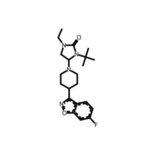 CCN1CC(N2CCC(c3noc4cc(F)ccc34)CC2)N(C(C)(C)C)C1=O